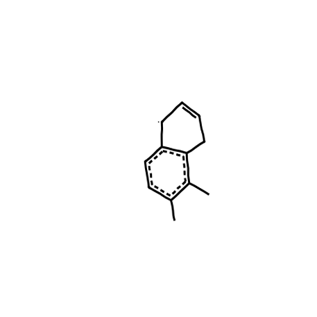 Cc1ccc2c(c1C)CC=C[CH]2